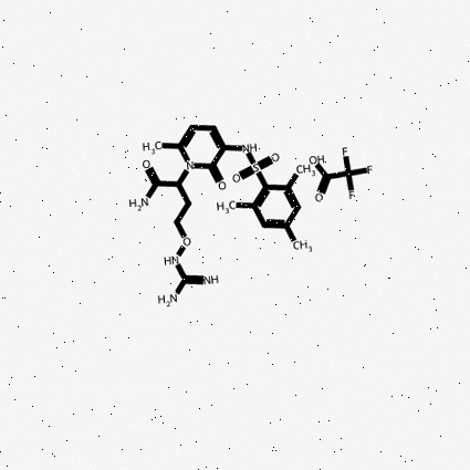 Cc1cc(C)c(S(=O)(=O)Nc2ccc(C)n(C(CCONC(=N)N)C(N)=O)c2=O)c(C)c1.O=C(O)C(F)(F)F